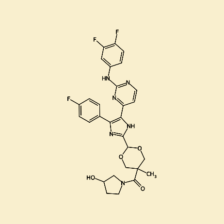 CC1(C(=O)N2CCC(O)C2)COC(c2nc(-c3ccc(F)cc3)c(-c3ccnc(Nc4ccc(F)c(F)c4)n3)[nH]2)OC1